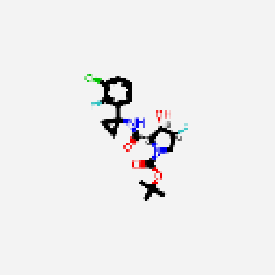 CC(C)(C)OC(=O)N1C[C@H](F)[C@@H](O)[C@H]1C(=O)NC1(c2cccc(Cl)c2F)CC1